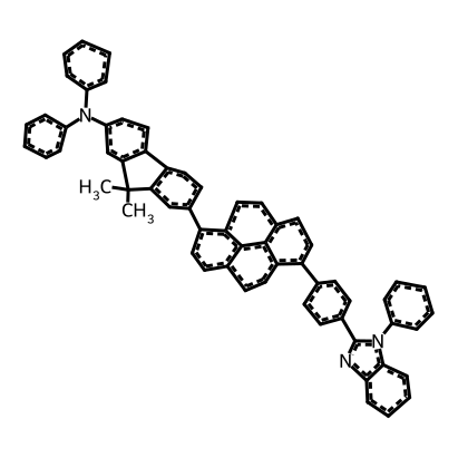 CC1(C)c2cc(-c3ccc4ccc5c(-c6ccc(-c7nc8ccccc8n7-c7ccccc7)cc6)ccc6ccc3c4c65)ccc2-c2ccc(N(c3ccccc3)c3ccccc3)cc21